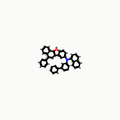 c1ccc(-c2cccc(N(c3ccc4oc5c6ccccc6c(-c6ccccc6)cc5c4c3)c3cccc4ccccc34)c2)cc1